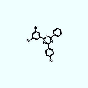 Brc1ccc(-c2nc(-c3ccccc3)nc(-c3cc(Br)cc(Br)c3)n2)cc1